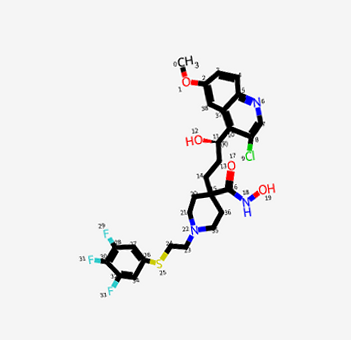 COc1ccc2ncc(Cl)c([C@H](O)CCC3(C(=O)NO)CCN(CCSc4cc(F)c(F)c(F)c4)CC3)c2c1